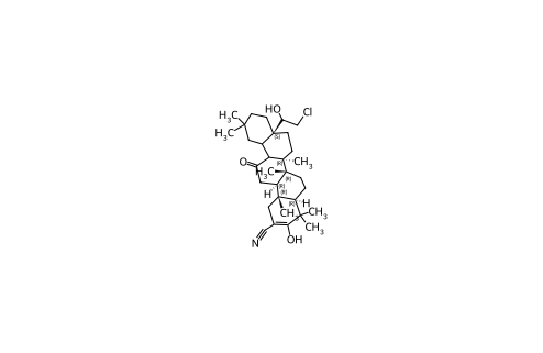 CC1(C)CC[C@]2(C(O)CCl)CC[C@]3(C)C(C(=O)C[C@@H]4[C@@]5(C)CC(C#N)=C(O)C(C)(C)[C@@H]5CC[C@]43C)C2C1